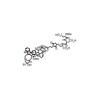 CC[C@]1(O)C[C@H]2CN(CCc3c([nH]c4ccccc34)[C@@](C(=O)OC)(c3cc4c(cc3OC)N(C)[C@H]3[C@@](O)(C(=O)N/N=C(\C)CCN5C(=O)CC(SC[C@H](NC(=O)[C@H](CC(=O)O)NC(=O)[C@H](CC(=O)O)NC)C(=O)O)C5=O)[C@H](O)[C@]5(CC)C=CCN6CC[C@]43[C@@H]65)C2)C1